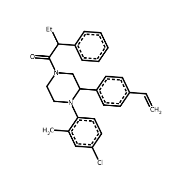 C=Cc1ccc(C2CN(C(=O)C(CC)c3ccccc3)CCN2c2ccc(Cl)cc2C)cc1